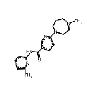 Cc1cccc(NC(=O)c2ccc(N3CCCN(C)CC3)nc2)n1